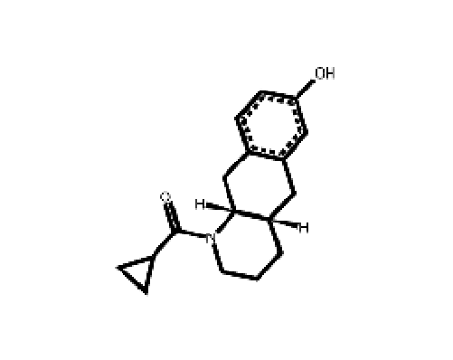 O=C(C1CC1)N1CCC[C@H]2Cc3cc(O)ccc3C[C@H]21